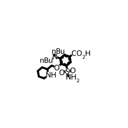 CCCCN(CCCC)c1cc(C(=O)O)cc(S(N)(=O)=O)c1OCC1CCCCN1